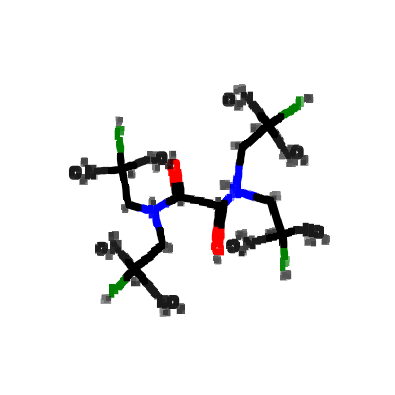 O=C(C(=O)N(CC(F)([N+](=O)[O-])[N+](=O)[O-])CC(F)([N+](=O)[O-])[N+](=O)[O-])N(CC(F)([N+](=O)[O-])[N+](=O)[O-])CC(F)([N+](=O)[O-])[N+](=O)[O-]